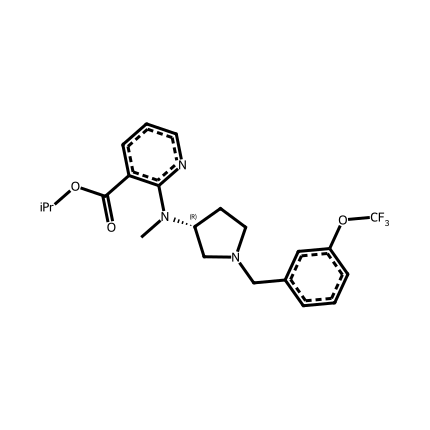 CC(C)OC(=O)c1cccnc1N(C)[C@@H]1CCN(Cc2cccc(OC(F)(F)F)c2)C1